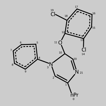 CCCC1=CN(c2ccccc2)C(Oc2c(Cl)cccc2Cl)C=N1